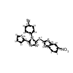 O=[N+]([O-])c1ccc2nc(Sc3nnc(-c4cccs4)n3-c3ccc(Br)cc3)sc2c1